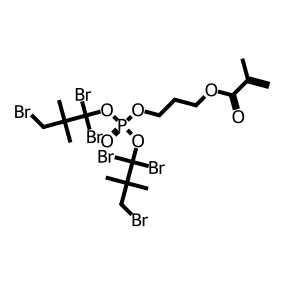 C=C(C)C(=O)OCCCOP(=O)(OC(Br)(Br)C(C)(C)CBr)OC(Br)(Br)C(C)(C)CBr